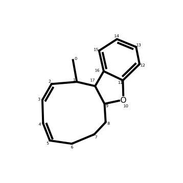 CC1/C=C\C=C/CCCC2Oc3ccccc3C12